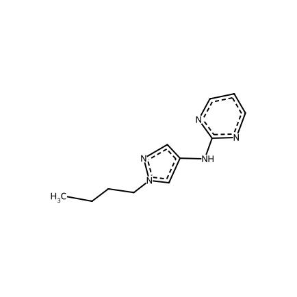 CCCCn1cc(Nc2ncccn2)cn1